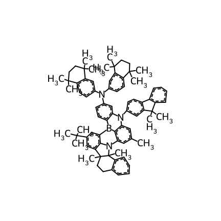 Cc1cc2c3c(c1)N1c4c(cc(C(C)(C)C)cc4C4(C)CCc5ccccc5C14C)B3c1ccc(N(c3ccc4c(c3)C(C)(C)CCC4(C)C)c3ccc4c(c3)C(C)(C)CCC4(C)C)cc1N2c1ccc2c(c1)C(C)(C)c1ccccc1-2